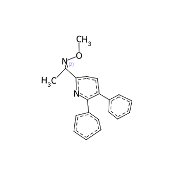 CO/N=C(/C)c1ccc(-c2ccccc2)c(-c2ccccc2)n1